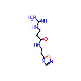 N=C(N)NCCC(=O)NCCc1ncno1